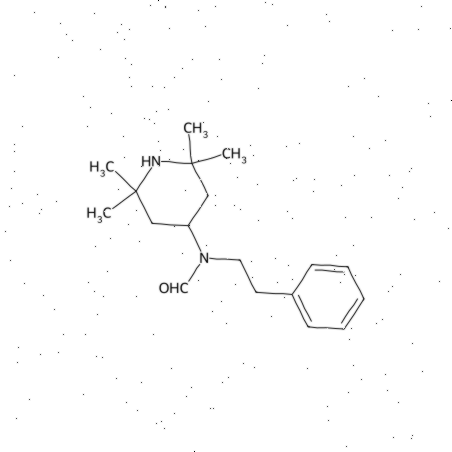 CC1(C)CC(N(C=O)CCc2ccccc2)CC(C)(C)N1